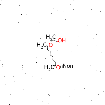 C=C(CCCCCCC(=C)OCC(C)CO)OCCCCCCCCC